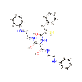 O=C(NCCNc1ccccc1)C(NC(=O)[C@@H](S)Cc1ccccc1)C(=O)NCCNc1ccccc1